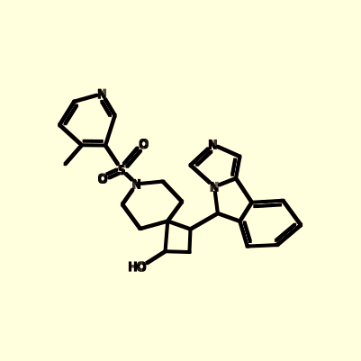 Cc1ccncc1S(=O)(=O)N1CCC2(CC1)C(O)CC2C1c2ccccc2-c2cncn21